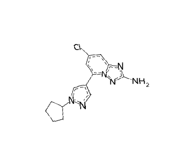 Nc1nc2cc(Cl)cc(-c3cnn(C4CCCC4)c3)n2n1